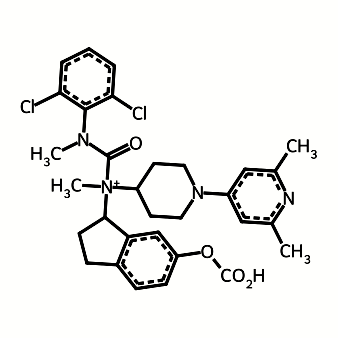 Cc1cc(N2CCC([N+](C)(C(=O)N(C)c3c(Cl)cccc3Cl)C3CCc4ccc(OC(=O)O)cc43)CC2)cc(C)n1